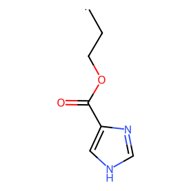 [CH2]CCOC(=O)c1c[nH]cn1